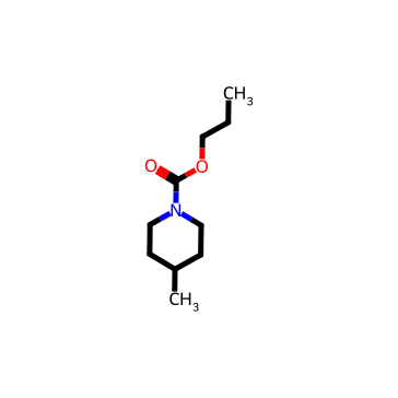 CCCOC(=O)N1CCC(C)CC1